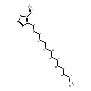 C=Cc1sccc1CCCCCCCCCCCCCC